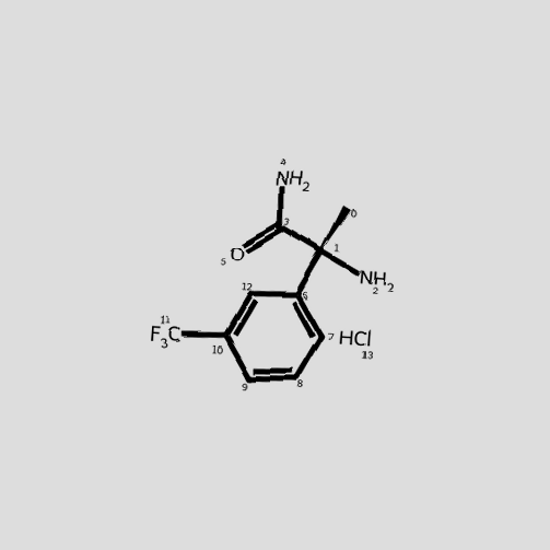 C[C@](N)(C(N)=O)c1cccc(C(F)(F)F)c1.Cl